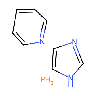 P.c1c[nH]cn1.c1ccncc1